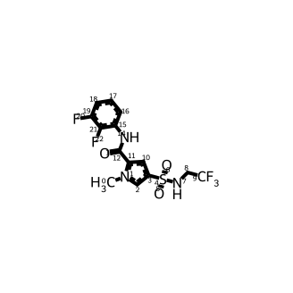 Cn1cc(S(=O)(=O)NCC(F)(F)F)cc1C(=O)Nc1cccc(F)c1F